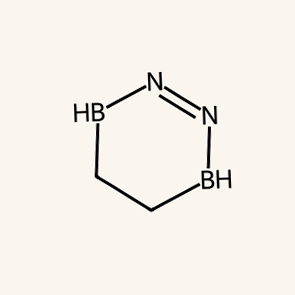 B1CCBN=N1